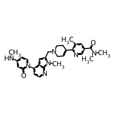 CNc1ccn(-c2ccnc3c2cc(CN2CC=C(c4ncc(C(=O)N(C)C)cc4C)CC2)n3C)c(=O)c1